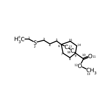 CCSCCCC12CCC(C(=O)OC)(CC1)CC2